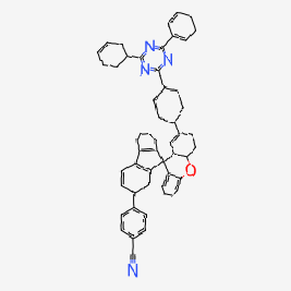 N#Cc1ccc(C2C=CC3=C(C2)C2(C4=CCCC=C4OC4CCC(C5CCC(c6nc(C7=CCCC=C7)nc(C7CC=CCC7)n6)CC5)=CC42)C2=C3CCCC2)cc1